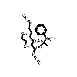 C[C@@](O)(C(=O)O)N(O)c1ccccc1.O=C=NCCCCCCN=C=O.OCCO